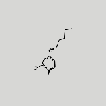 CCCCCOc1ccc(C)c(Cl)c1